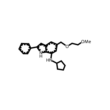 COCCOCc1cc(NC2CCCC2)c2[nH]c(-c3ccccc3)cc2c1